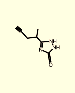 C#CCC(C)c1nc(=O)[nH][nH]1